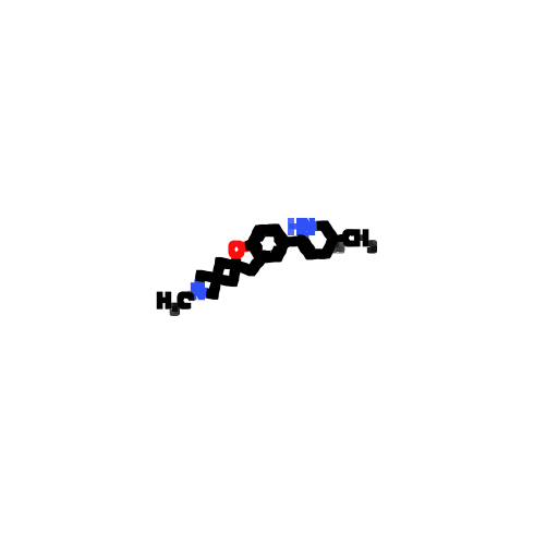 C[C@H]1CC=C(c2ccc3c(c2)CC2(CC4(CN(C)C4)C2)O3)NC1